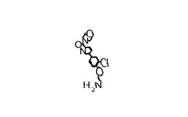 NCCOc1ccc(-c2ccc(C(=O)N3CCOCC3)nc2)cc1Cl